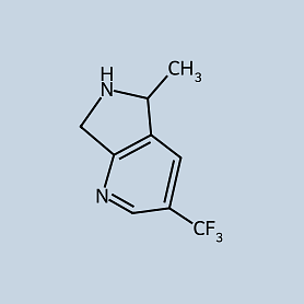 CC1NCc2ncc(C(F)(F)F)cc21